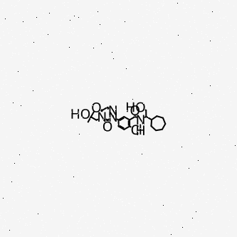 CC(C)(O)Cn1c(=O)cnn(-c2ccc(Cl)c(C(=O)NC(CO)C3CCCCCC3)c2)c1=O